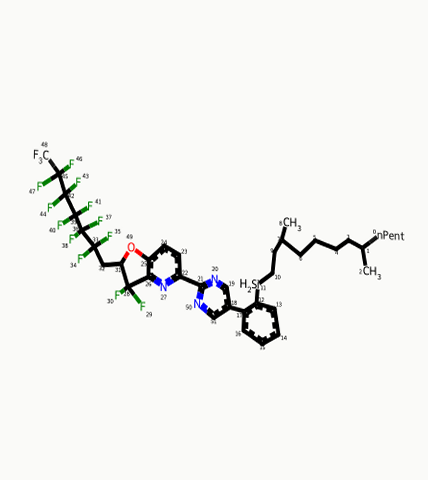 CCCCCC(C)CCCCC(C)CC[SiH2]c1ccccc1-c1cnc(-c2ccc3c(n2)C(F)(F)C(CC(F)(F)C(F)(F)C(F)(F)C(F)(F)C(F)(F)C(F)(F)F)O3)nc1